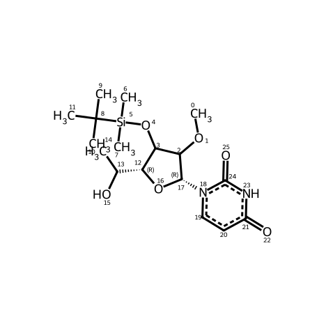 COC1C(O[Si](C)(C)C(C)(C)C)[C@@H](C(C)O)O[C@H]1n1ccc(=O)[nH]c1=O